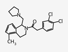 Cc1cccc2c1CCN(C(=O)Cc1ccc(Cl)c(Cl)c1)C2CN1CCCC1